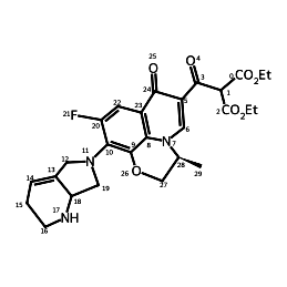 CCOC(=O)C(C(=O)OCC)C(=O)c1cn2c3c(c(N4CC5=CCCNC5C4)c(F)cc3c1=O)OC[C@@H]2C